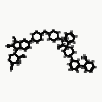 Cn1c(=O)n([C@@H]2CCC(=O)NC2=O)c2ccc(N3CCC(CN4CCC(NC(=O)C5(c6ccccc6)CCN(c6cnnc(-c7ccccc7O)c6)CC5)CC4)CC3)cc21